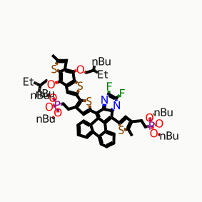 CCCCOP(=O)(CCc1cc(-c2c3nc(F)c(F)nc3c(-c3cc(CCP(=O)(OCCCC)OCCCC)c(-c4cc5c(OCC(CC)CCCC)c6sc(C)cc6c(OCC(CC)CCCC)c5s4)s3)c3c4ccccc4c4ccccc4c23)sc1C)OCCCC